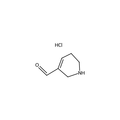 Cl.O=CC1=CCCNC1